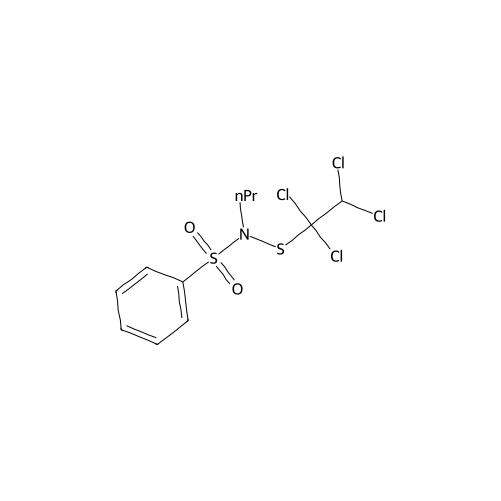 CCCN(SC(Cl)(Cl)C(Cl)Cl)S(=O)(=O)c1ccccc1